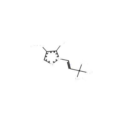 CCOC(=O)c1cnn(/C=C/C(C)(C)NC(C)=O)c1C(F)(F)F